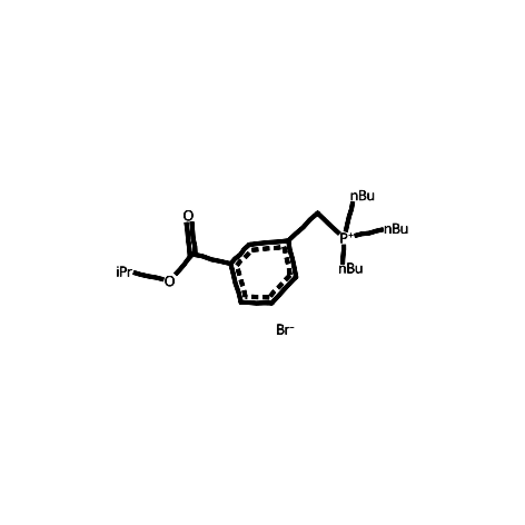 CCCC[P+](CCCC)(CCCC)Cc1cccc(C(=O)OC(C)C)c1.[Br-]